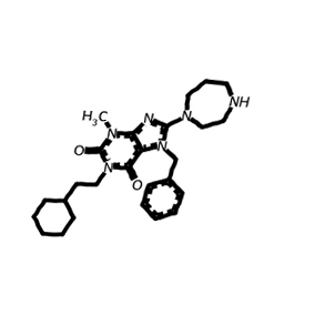 Cn1c(=O)n(CCC2CCCCC2)c(=O)c2c1nc(N1CCCNCC1)n2Cc1ccccc1